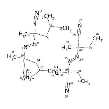 CC(C)CC(C)(C#N)N=NC(C)(C#N)CC(C)C.CCC(C)(C#N)N=NC(C)(C#N)CC